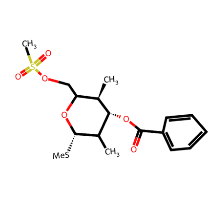 CS[C@@H]1OC(COS(C)(=O)=O)[C@@H](C)[C@H](OC(=O)c2ccccc2)C1C